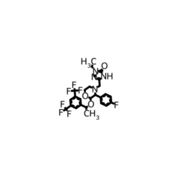 CCn1nc(CN2CCOC(OC(C)c3cc(C(F)(F)F)cc(C(F)(F)F)c3)C2c2ccc(F)cc2)[nH]c1=O